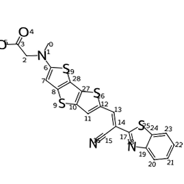 CN(CC(=O)O)c1cc2sc3cc(/C=C(\C#N)c4nc5ccccc5s4)sc3c2s1